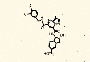 O=C(O)c1ccc2c(c1)C[C@@H](O)[C@@H]2NC(=O)c1cc(C(=O)NCc2ccc(F)c(Cl)c2)nc2c(F)cnn12